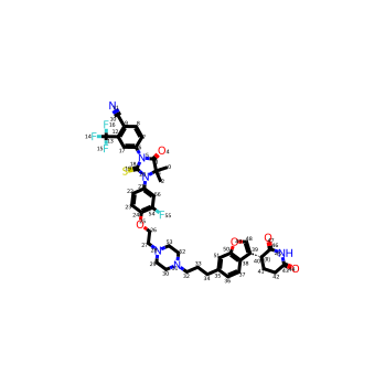 CC1(C)C(=O)N(c2ccc(C#N)c(C(F)(F)F)c2)C(=S)N1c1ccc(OCCN2CCN(CCCc3ccc4c([C@H]5CCC(=O)NC5=O)coc4c3)CC2)c(F)c1